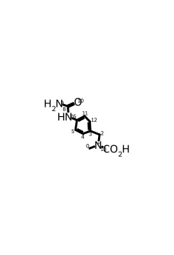 CN(Cc1ccc(NC(N)=O)cc1)C(=O)O